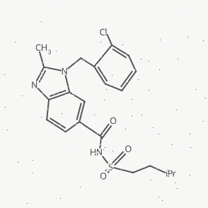 Cc1nc2ccc(C(=O)NS(=O)(=O)CCC(C)C)cc2n1Cc1ccccc1Cl